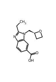 CCc1nc2ccc(C(=O)O)cc2n1C[C@@H]1CCO1